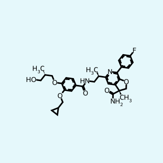 C[C@@H](CO)COc1ccc(C(=O)NC[C@@H](C)c2cc3c(c(-c4ccc(F)cc4)n2)OC[C@]3(C)C(N)=O)cc1OCC1CC1